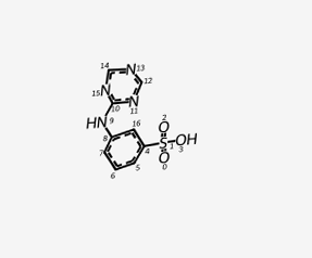 O=S(=O)(O)c1cccc(Nc2ncncn2)c1